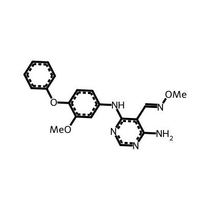 CON=Cc1c(N)ncnc1Nc1ccc(Oc2ccccc2)c(OC)c1